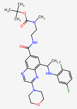 CC(Nc1cc(F)ccc1F)c1cc(C(=O)NCCN(C)C(=O)OC(C)(C)C)cc2ncc(N3CCOCC3)nc12